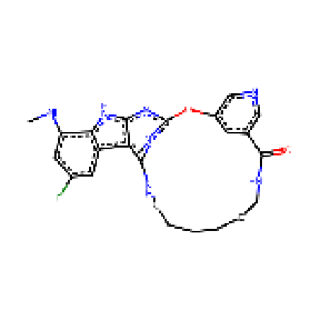 CNc1cc(F)cc2c1[nH]c1nc3nc(c12)NCCCCCCNC(=O)c1cncc(c1)O3